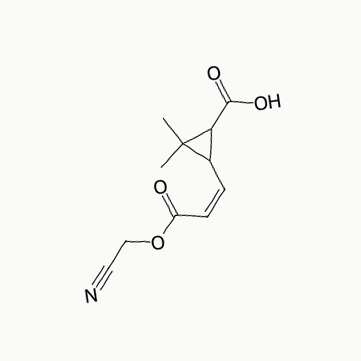 CC1(C)C(/C=C\C(=O)OCC#N)C1C(=O)O